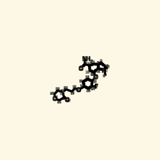 Cn1ncc2cc(C(N)=O)cc(Oc3ccc(OCCCN4CCOCC4=O)cc3F)c21